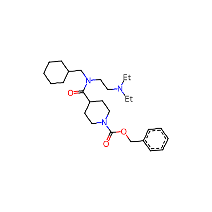 CCN(CC)CCN(CC1CCCCC1)C(=O)C1CCN(C(=O)OCc2ccccc2)CC1